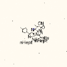 CCCCCCCN(CCCCCCC)c1nc(-c2ccc(C)cc2)c(/N=C2/C(C)=C(C#N)C(=O)n3nc(C(CC)CCCC)nc32)s1